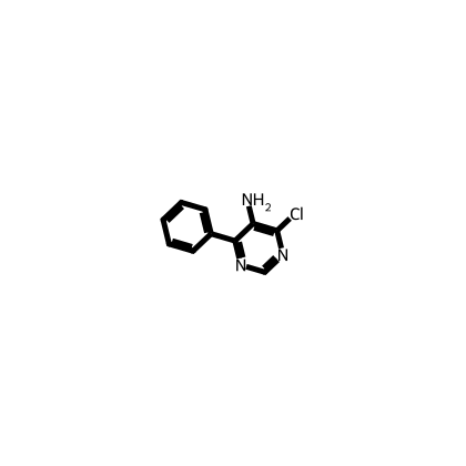 Nc1c(Cl)ncnc1-c1ccccc1